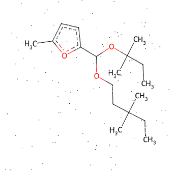 CCC(C)(C)CCOC(OC(C)(C)CC)c1ccc(C)o1